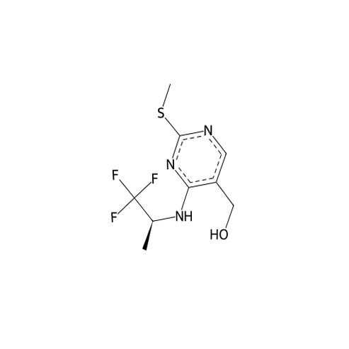 CSc1ncc(CO)c(N[C@@H](C)C(F)(F)F)n1